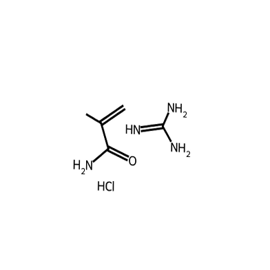 C=C(C)C(N)=O.Cl.N=C(N)N